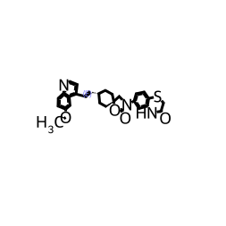 COc1ccc2nccc(/C=C/[C@H]3CC[C@@]4(CC3)CN(c3ccc5c(c3)NC(=O)CS5)C(=O)O4)c2c1